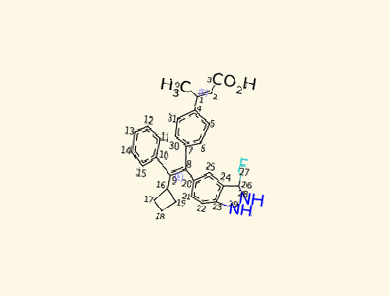 C/C(=C\C(=O)O)c1ccc(/C(=C(\c2ccccc2)C2CCC2)c2ccc3c(c2)C(F)NN3)cc1